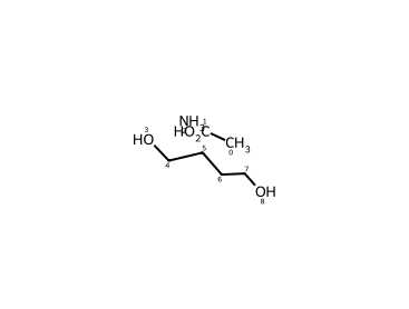 CC(=O)O.N.OCCCCO